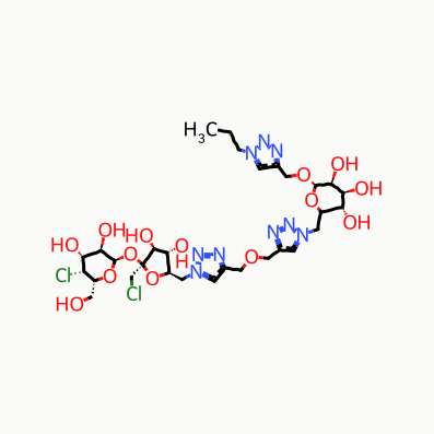 CCCn1cc(CO[C@H]2OC(Cn3cc(COCc4cn(C[C@H]5O[C@@](CCl)(O[C@H]6O[C@H](CO)[C@H](Cl)[C@H](O)[C@H]6O)[C@@H](O)[C@@H]5O)nn4)nn3)[C@@H](O)[C@H](O)[C@@H]2O)nn1